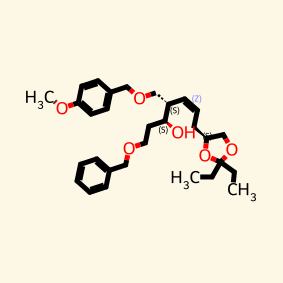 CCC1(CC)OC[C@H](C/C=C\[C@@H](COCc2ccc(OC)cc2)[C@@H](O)CCOCc2ccccc2)O1